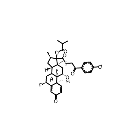 CC(C)C(=O)O[C@]1(C(=O)SCC(=O)c2ccc(Cl)cc2)[C@H](C)C[C@H]2[C@@H]3C[C@H](F)C4=CC(=O)C=C[C@]4(C)[C@@]3(F)[C@@H](O)C[C@@]21C